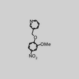 COc1cc([N+](=O)[O-])ccc1OCc1cccnc1